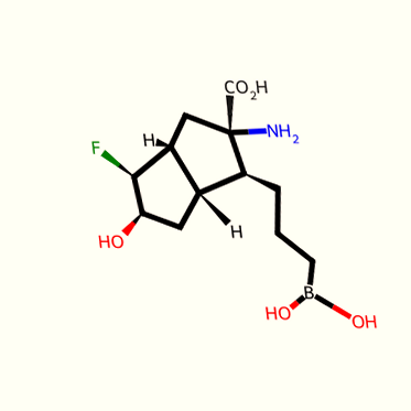 N[C@@]1(C(=O)O)C[C@H]2[C@H](F)[C@H](O)C[C@H]2[C@@H]1CCCB(O)O